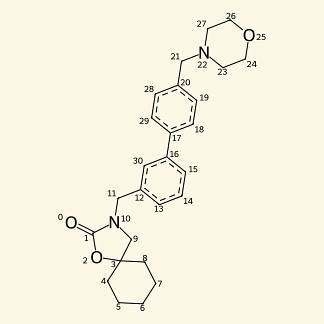 O=C1OC2(CCCCC2)CN1Cc1cccc(-c2ccc(CN3CCOCC3)cc2)c1